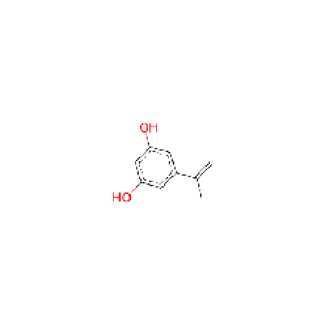 C=C(C)c1cc(O)cc(O)c1